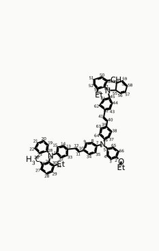 CCOc1ccc(N(c2ccc(/C=C/c3ccc(N(c4ccccc4)c4c(C)cccc4CC)cc3)cc2)c2ccc(/C=C/c3ccc(N(c4c(C)cccc4CC)C4C=CC=CC4)cc3)cc2)cc1